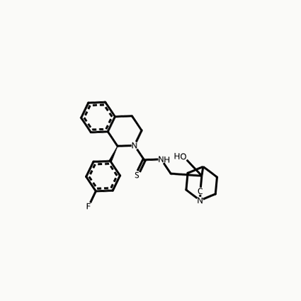 OC1(CNC(=S)N2CCc3ccccc3[C@@H]2c2ccc(F)cc2)CN2CCC1CC2